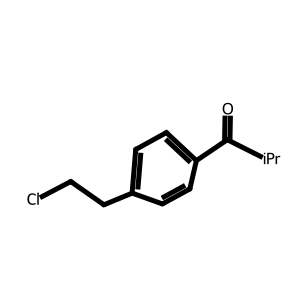 CC(C)C(=O)c1ccc(CCCl)cc1